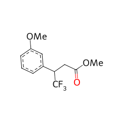 COC(=O)CC(c1cccc(OC)c1)C(F)(F)F